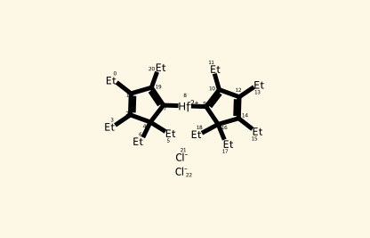 CCC1=C(CC)C(CC)(CC)[C]([Hf+2][C]2=C(CC)C(CC)=C(CC)C2(CC)CC)=C1CC.[Cl-].[Cl-]